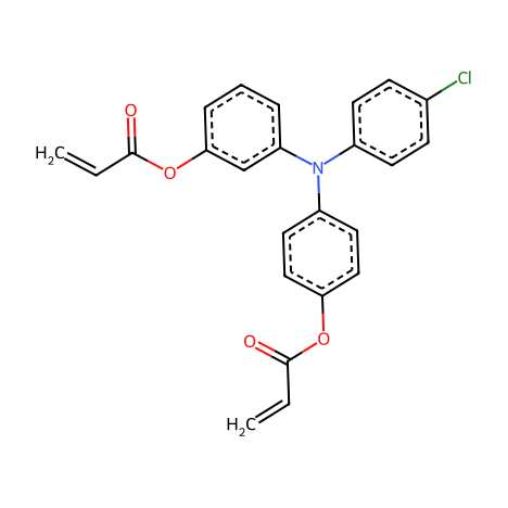 C=CC(=O)Oc1ccc(N(c2ccc(Cl)cc2)c2cccc(OC(=O)C=C)c2)cc1